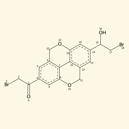 O=C(CBr)c1cc2c3c(c1)OCc1cc(C(O)CBr)cc(c1-3)OC2